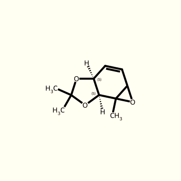 CC1(C)O[C@H]2C=CC3OC3(C)[C@H]2O1